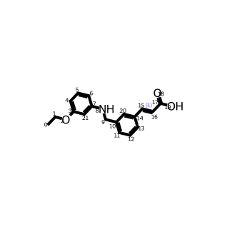 CCOc1cccc(NCc2cccc(/C=C/C(=O)O)c2)c1